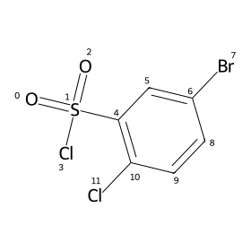 O=S(=O)(Cl)c1cc(Br)ccc1Cl